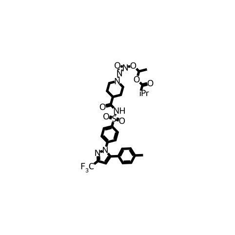 Cc1ccc(-c2cc(C(F)(F)F)nn2-c2ccc(S(=O)(=O)NC(=O)C3CCN(n4on4OC(C)OC(=O)C(C)C)CC3)cc2)cc1